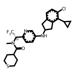 CN(C(=O)C1CCSCC1)[C@@H](c1ccc(NC2Cc3ccc(Cl)c(C4CC4)c3C2)cn1)C(F)(F)F